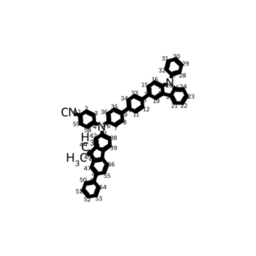 [C-]#[N+]c1ccc(N(c2ccc(-c3ccc(-c4ccc5c(c4)c4ccccc4n5-c4ccccc4)cc3)cc2)c2ccc3c(c2)C(C)(C)c2cc(-c4ccccc4)ccc2-3)cc1